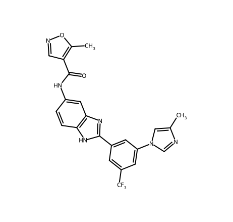 Cc1cn(-c2cc(-c3nc4cc(NC(=O)c5cnoc5C)ccc4[nH]3)cc(C(F)(F)F)c2)cn1